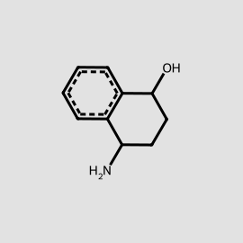 NC1CCC(O)c2ccccc21